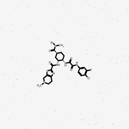 CCN(C)C(=O)[C@H]1CC[C@H](NC(=O)C(=O)Nc2ccc(Cl)c(F)c2)[C@H](NC(=O)c2nc3c(s2)CN(C)CC3)C1